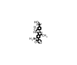 Cc1nnc(N[C@H](C)c2cccc(C(F)(F)CO)c2)c2cc3c(cc12)C1(CCOCC1)C(=O)N3C